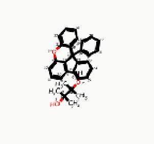 CC(C)(O)C(C)(C)OBc1cccc2c1C(c1ccccc1)(c1ccccc1)c1ccccc1O2